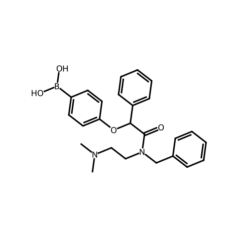 CN(C)CCN(Cc1ccccc1)C(=O)C(Oc1ccc(B(O)O)cc1)c1ccccc1